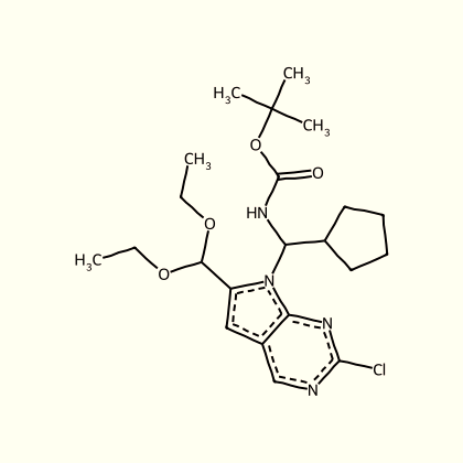 CCOC(OCC)c1cc2cnc(Cl)nc2n1C(NC(=O)OC(C)(C)C)C1CCCC1